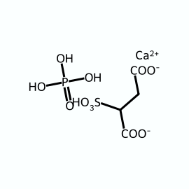 O=C([O-])CC(C(=O)[O-])S(=O)(=O)O.O=P(O)(O)O.[Ca+2]